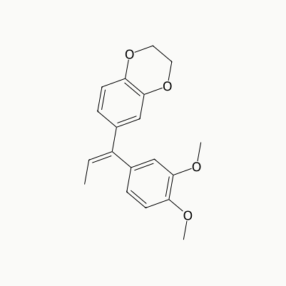 CC=C(c1ccc(OC)c(OC)c1)c1ccc2c(c1)OCCO2